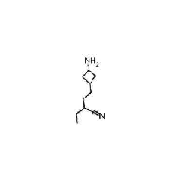 CCC(C#N)CC[C@H]1C[C@H](N)C1